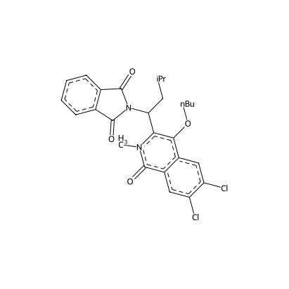 CCCCOc1c(C(CC(C)C)N2C(=O)c3ccccc3C2=O)n(C)c(=O)c2cc(Cl)c(Cl)cc12